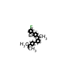 C/C=C(/C)c1ccc(-c2cccc(C(C)c3ccc(-c4cc(F)ccc4C)cc3)c2)cc1